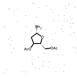 B[C@H]1CC(OC(C)=O)[C@@H](COC(C)=O)O1